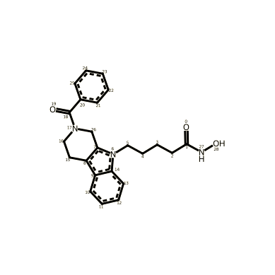 O=C(CCCCn1c2c(c3ccccc31)CCN(C(=O)c1ccccc1)C2)NO